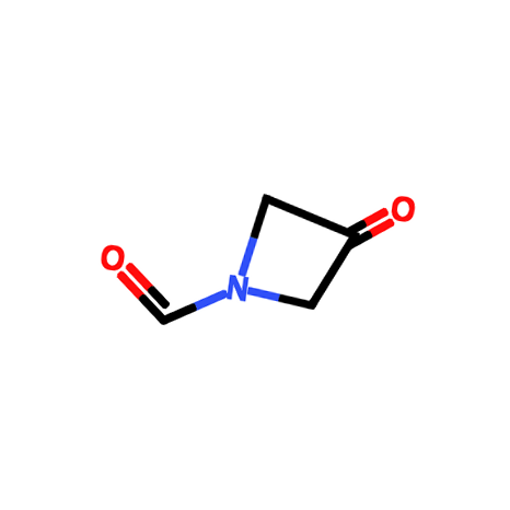 O=CN1CC(=O)C1